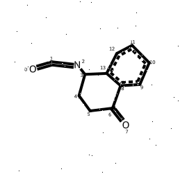 O=C=NC1CCC(=O)c2ccccc21